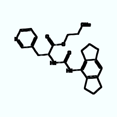 COCCOC(=O)C(Cc1cccnc1)NC(=O)Nc1c2c(cc3c1CCC3)CCC2